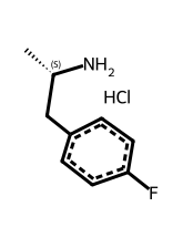 C[C@H](N)Cc1ccc(F)cc1.Cl